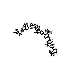 Cc1cc2c(s1)-c1sc(-c3ccc(-c4ccc(Bc5cc6c(s5)-c5sc(-c7ccc(Cc8cc9c(s8)-c8sc(-c%10ccc(C)c%11nsnc%10%11)cc8C9(C)C)c8nsnc78)cc5C6(C)C)s4)c4nsnc34)cc1C2(C)C